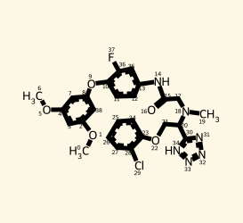 COc1cc(OC)cc(Oc2ccc(NC(=O)CN(C)C(COc3ccccc3Cl)c3nnn[nH]3)cc2F)c1